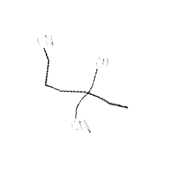 CC(C#N)(C#N)CC#N